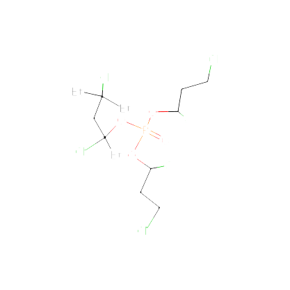 CCC(Cl)(CC)CC(Cl)(CC)OP(=O)(OC(Cl)CCCl)OC(Cl)CCCl